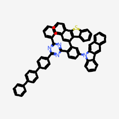 c1ccc(-c2ccc(-c3ccc(-c4nc(-c5ccccc5)nc(-c5ccc(-n6c7ccccc7c7cc8ccccc8cc76)cc5-c5cc6ccccc6c6sc7ccccc7c56)n4)cc3)cc2)cc1